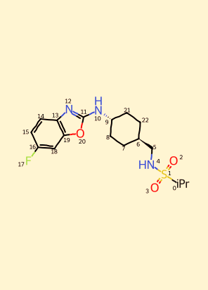 CC(C)S(=O)(=O)NC[C@H]1CC[C@H](Nc2nc3ccc(F)cc3o2)CC1